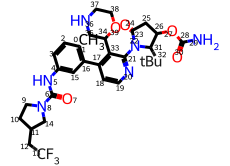 Cc1ccc(NC(=O)N2CCC(CC(F)(F)F)C2)cc1-c1ccnc(N2C(=O)CC(OC(N)=O)C2C(C)(C)C)c1C1CNCCO1